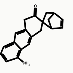 Nc1cccc2cc3c(cc12)CC1(CC2C=CC1C2)C(=O)C3